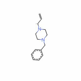 C=C[CH]N1CCN(Cc2ccccc2)CC1